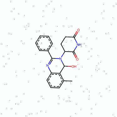 Cc1cccc2c1C(O)N(C1CCC(=O)NC1=O)C(c1ccccc1)=N2